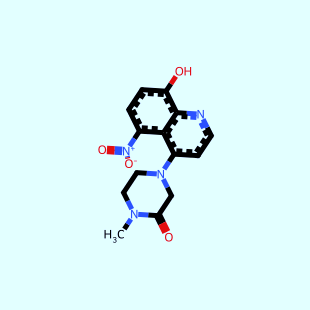 CN1CCN(c2ccnc3c(O)ccc([N+](=O)[O-])c23)CC1=O